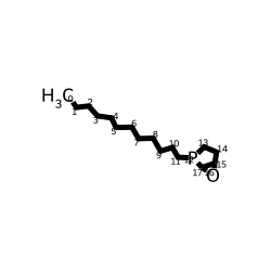 CCCCCCCCCCCCP1CCC2OC21